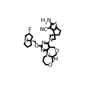 N#Cc1c(N)sc2c1C1(CC2)CN(c2nc(OC[C@@]34CCCN3C[C@H](F)C4)nc3c2COC[C@@H]2COCCCN32)C1